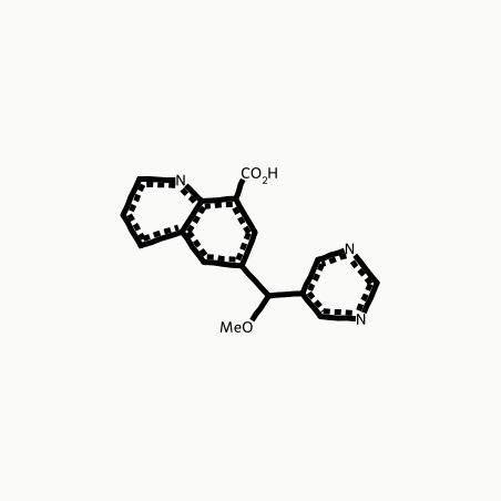 COC(c1cncnc1)c1cc(C(=O)O)c2ncccc2c1